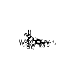 C[C@@H](O[Si](C)(C)C(C)(C)C)[C@H]1C(=O)N[C@@H]1CC(=O)c1ccc(C(OC(N)=O)C(C)(C)C)cc1